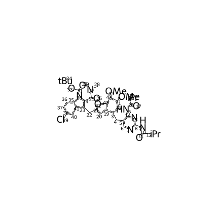 COc1cc(Cc2cnc(NC(=O)C(C)C)nc2NC(=O)C(C)C)c2cc(Cc3c(C(=O)N(C)C)n(C(=O)OC(C)(C)C)c4ccc(Cl)cc34)oc2c1OC